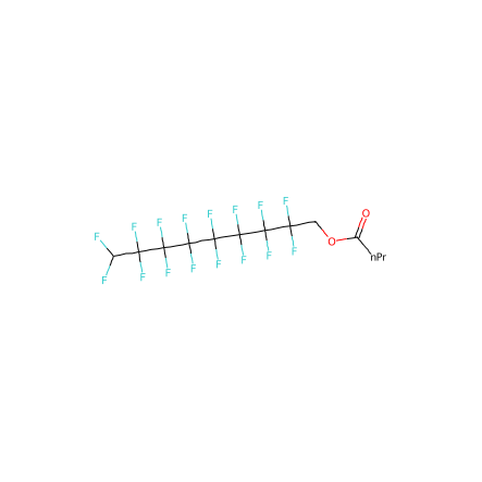 CCCC(=O)OCC(F)(F)C(F)(F)C(F)(F)C(F)(F)C(F)(F)C(F)(F)C(F)(F)C(F)F